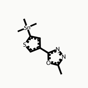 Cc1nnc(-c2cs[c]([Sn]([CH3])([CH3])[CH3])c2)o1